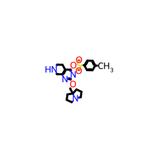 Cc1ccc(S(=O)(=O)Oc2nc(OCC34CCCN3CCC4)nc3c2CCNC3)cc1